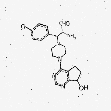 N[C@@H](C=O)C(c1ccc(Cl)cc1)N1CCN(c2ncnc3c2CCC3O)CC1